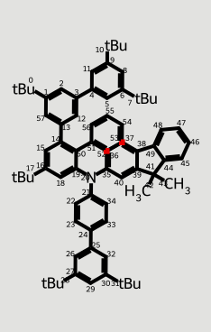 CC(C)(C)c1cc(-c2cc(C(C)(C)C)cc(C(C)(C)C)c2)cc(-c2cc(C(C)(C)C)cc(N(c3ccc(-c4cc(C(C)(C)C)cc(C(C)(C)C)c4)cc3)c3ccc4c(c3)C(C)(C)c3ccccc3-4)c2-c2ccccc2)c1